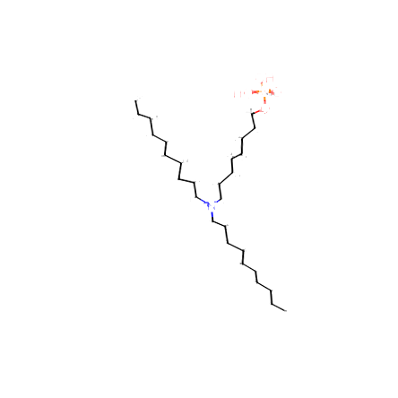 CCCCCCCCCCN(CCCCCCCCCC)CCCCCCCCOP(=O)(O)O